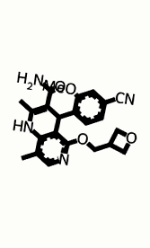 COc1cc(C#N)ccc1C1C(C(N)=O)=C(C)Nc2c(C)cnc(OCC3COC3)c21